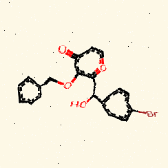 O=c1ccoc(C(O)c2ccc(Br)cc2)c1OCc1ccccc1